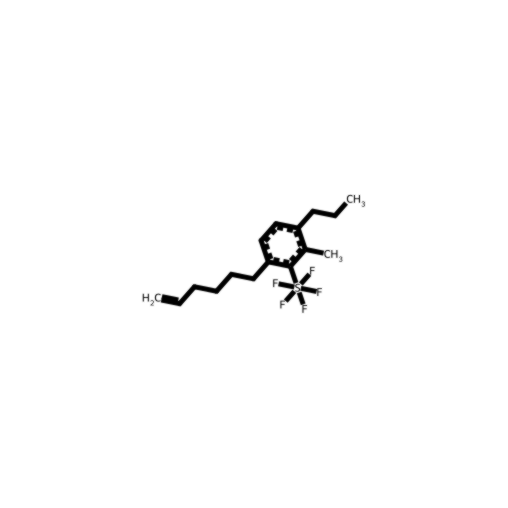 C=CCCCCc1ccc(CCC)c(C)c1S(F)(F)(F)(F)F